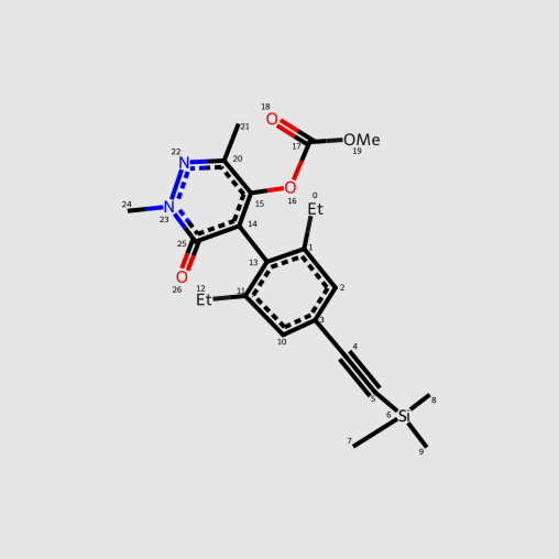 CCc1cc(C#C[Si](C)(C)C)cc(CC)c1-c1c(OC(=O)OC)c(C)nn(C)c1=O